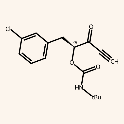 C#CC(=O)[C@H](Cc1cccc(Cl)c1)OC(=O)NC(C)(C)C